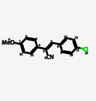 COc1ccc(C(C#N)=Cc2ccc(Cl)cc2)cc1